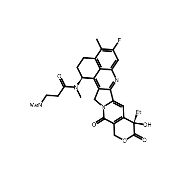 CC[C@@]1(O)C(=O)OCc2c1cc1n(c2=O)Cc2c-1nc1cc(F)c(C)c3c1c2[C@@H](N(C)C(=O)CCNC)CC3